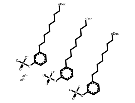 CCCCCCCCCCCCCCCCCCc1cccc(OP(=O)([O-])[O-])c1.CCCCCCCCCCCCCCCCCCc1cccc(OP(=O)([O-])[O-])c1.CCCCCCCCCCCCCCCCCCc1cccc(OP(=O)([O-])[O-])c1.[Al+3].[Al+3]